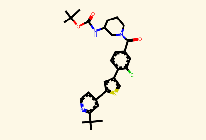 CC(C)(C)OC(=O)NC1CCCN(C(=O)c2ccc(-c3csc(-c4ccnc(C(C)(C)C)c4)c3)c(Cl)c2)C1